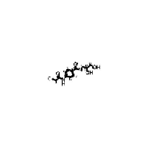 O=C(CCl)Nc1ccc(C(=O)NCC(O)CO)cc1